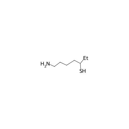 CCC(S)CCCCN